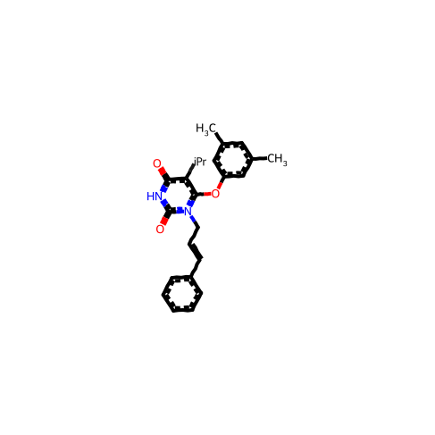 Cc1cc(C)cc(Oc2c(C(C)C)c(=O)[nH]c(=O)n2CC=Cc2ccccc2)c1